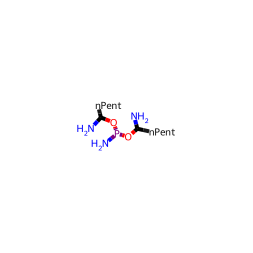 CCCCCC(N)OP(N)OC(N)CCCCC